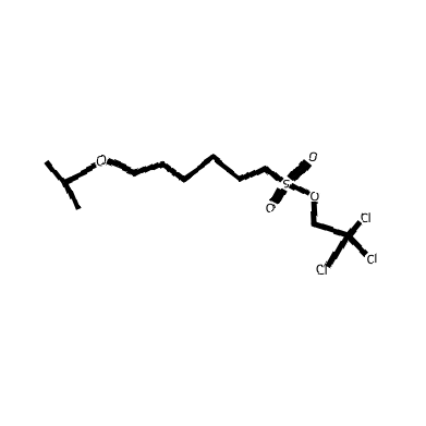 CC(C)OCCCCCCS(=O)(=O)OCC(Cl)(Cl)Cl